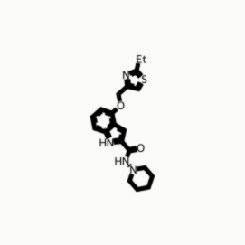 CCc1nc(COc2cccc3[nH]c(C(=O)NN4CCCCC4)cc23)cs1